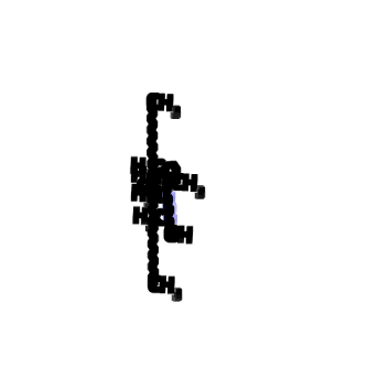 CC1=C(/C=C/C(C)=C/C=C/C(C)=C/CO)C(C)(C)CCC1.CCCCCCCCCCCCCCCCOC(=O)CCCCCCCCCCCCCCC